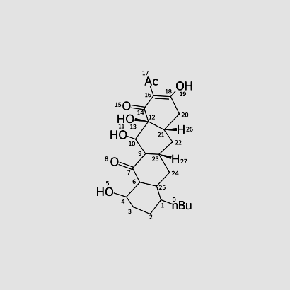 CCCCC1CCC(O)C2C(=O)C3C(O)[C@]4(O)C(=O)C(C(C)=O)=C(O)C[C@@H]4C[C@@H]3CC12